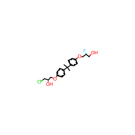 CC(C)(c1ccc(OC[C@@H](O)CCl)cc1)c1ccc(OC[C@@H](F)CO)cc1